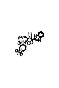 CC(C)CC(NC(=O)c1cnc2ccccc2n1)C(=O)N[C@H]1CCCN(S(C)(=O)=O)CC1=O